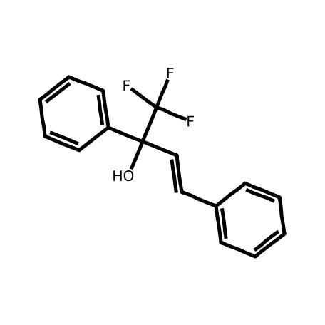 OC(C=Cc1ccccc1)(c1ccccc1)C(F)(F)F